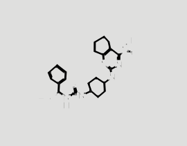 C[C@@H](NC(=S)NC1CCC(Nc2nc3c(c(N(C)C)n2)CCCC3)CC1)c1ccccc1